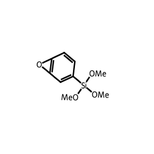 CO[Si](OC)(OC)c1ccc2c(c1)O2